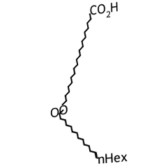 CCCCCCC=CCCCCCCCCCCCC(=O)OCCCCCCCCCCCCCCCCCCCCCC(=O)O